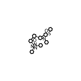 c1ccc(-c2nc(-c3ccccc3)nc(-c3cccc4c3oc3c(-c5ccc6c(c5)c5cc7c(cc5n6-c5ccccc5)Sc5ccccc5O7)cccc34)n2)cc1